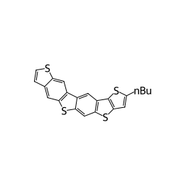 CCCCc1cc2sc3cc4sc5cc6ccsc6cc5c4cc3c2s1